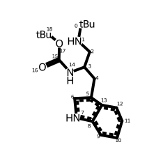 CC(C)(C)NCC(Cc1c[nH]c2ccccc12)NC(=O)OC(C)(C)C